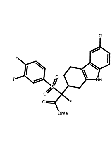 COC(=O)C(F)(C1CCc2c([nH]c3ccc(Cl)cc23)C1)S(=O)(=O)c1ccc(F)c(F)c1